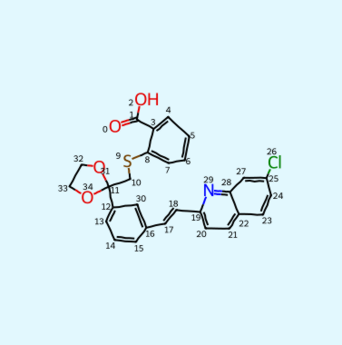 O=C(O)c1ccccc1SCC1(c2cccc(/C=C/c3ccc4ccc(Cl)cc4n3)c2)OCCO1